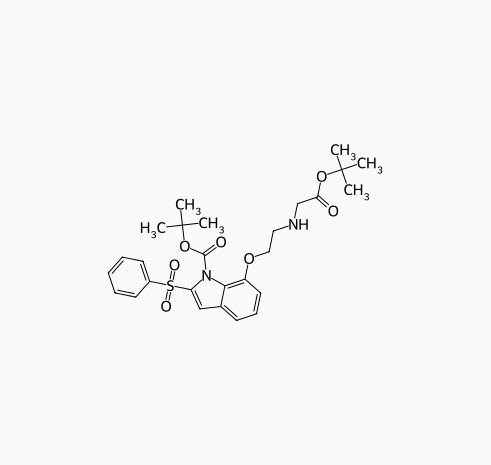 CC(C)(C)OC(=O)CNCCOc1cccc2cc(S(=O)(=O)c3ccccc3)n(C(=O)OC(C)(C)C)c12